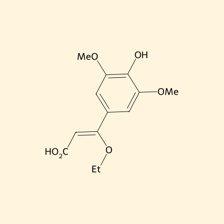 CCOC(=CC(=O)O)c1cc(OC)c(O)c(OC)c1